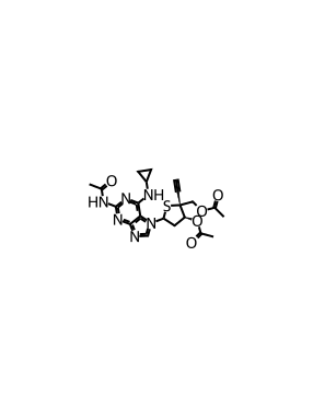 C#C[C@]1(COC(C)=O)SC(n2cnc3nc(NC(C)=O)nc(NC4CC4)c32)C[C@@H]1OC(C)=O